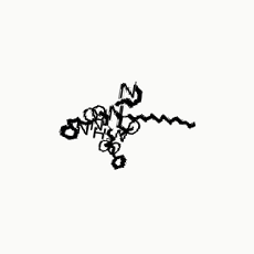 CCCCCCCCCCCCC[C@@H](CC(N)=O)N(Cc1ccccn1)C(=O)[C@H](CCCC(=O)OCc1ccccc1)NC(=O)c1ccc2ccccc2n1